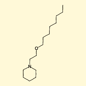 CCCCCCCCOCCN1CCCCC1